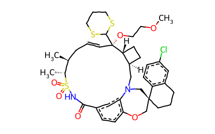 COCCO[C@@]1(C2SCCCS2)/C=C/C[C@H](C)[C@@H](C)S(=O)(=O)NC(=O)c2ccc3c(c2)N(C[C@@H]2CC[C@H]21)C[C@@]1(CCCc2cc(Cl)ccc21)CO3